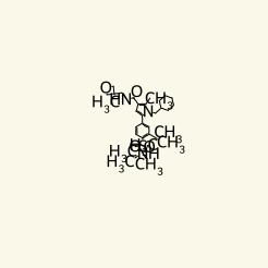 Cc1c(C(=O)NCC2(C)COC2)cc(-c2ccc(S(=O)(=O)NC(C)(C)C)c(C(C)(C)C)c2)n1CC1CCCCC1